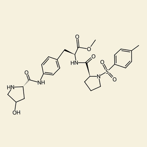 COC(=O)[C@H](Cc1ccc(NC(=O)[C@@H]2CC(O)CN2)cc1)NC(=O)[C@@H]1CCCN1S(=O)(=O)c1ccc(C)cc1